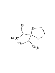 CCC(C(=O)O)C1(C(CC)C(=O)O)SCCS1